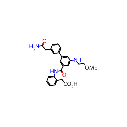 COCCNc1cc(C(=O)Nc2ccccc2CC(=O)O)cc(-c2cccc(CC(N)=O)c2)c1